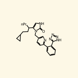 CCCC(CCC1CC1)c1c[nH]c(=O)n1Cc1ccc(-c2ccccc2-c2nnn[nH]2)nc1